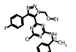 CCOCn1nnc(-c2ccc(F)cc2)c1-c1nc(Cl)nc(N[C@@H](C)c2ccccc2)n1